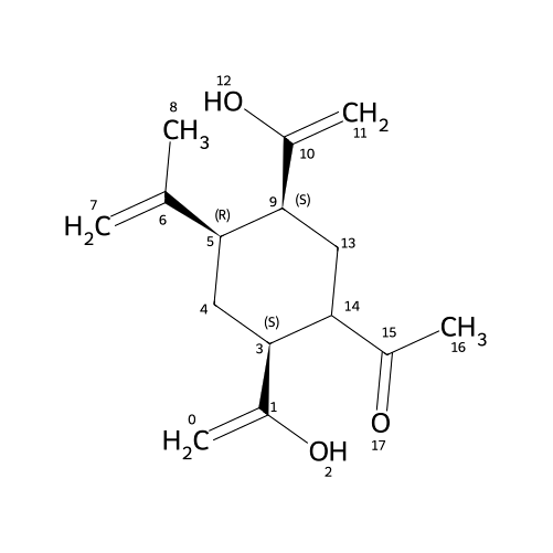 C=C(O)[C@H]1C[C@@H](C(=C)C)[C@@H](C(=C)O)CC1C(C)=O